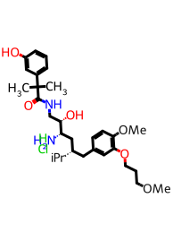 COCCCOc1cc(C[C@@H](C[C@H](N)[C@@H](O)CNC(=O)C(C)(C)c2cccc(O)c2)C(C)C)ccc1OC.Cl